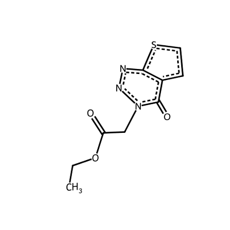 CCOC(=O)Cn1nnc2sccc2c1=O